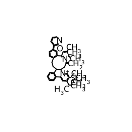 C=C1CC2C(CCc3ccc4c(oc5ncccc54)c3C(/C=C/C)=[N+]\1C(C)C)c1ccccc1-c1cc(C(C)C)c([Si](C)(C)C)c[n+]12